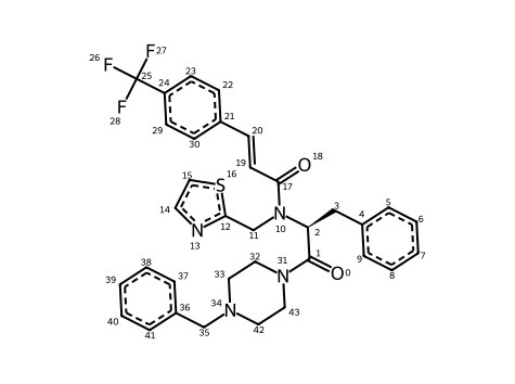 O=C([C@H](Cc1ccccc1)N(Cc1nccs1)C(=O)C=Cc1ccc(C(F)(F)F)cc1)N1CCN(Cc2ccccc2)CC1